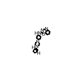 N#C/N=C(/Nc1ccc(N2CCN([C@H]3C[C@@H]4CC[C@H]3C4)CC2)cc1)Oc1ccccc1